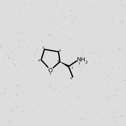 CC(N)[C@@H]1CCCO1